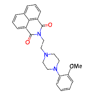 COc1ccccc1N1CCN(CCN2C(=O)c3cccc4cccc(c34)C2=O)CC1